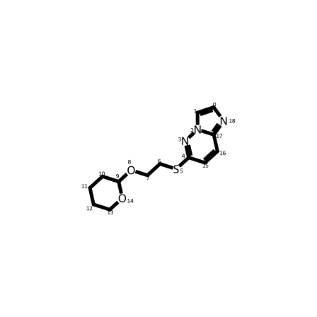 c1cn2nc(SCCOC3CCCCO3)ccc2n1